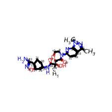 Cc1nn(C)c2nc(N3CCO[C@H](C(C)(O)C(=O)Nc4ccc5c(N)noc5c4)C3=O)ccc12